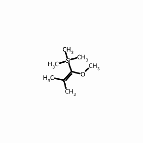 COC(=C(C)C)[Si](C)(C)C